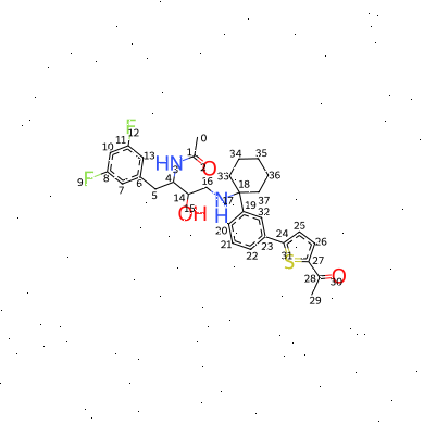 CC(=O)NC(Cc1cc(F)cc(F)c1)C(O)CNC1(c2cccc(-c3ccc(C(C)=O)s3)c2)CCCCC1